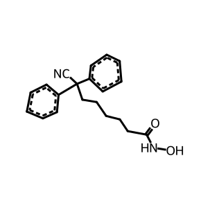 N#CC(CCCCCC(=O)NO)(c1ccccc1)c1ccccc1